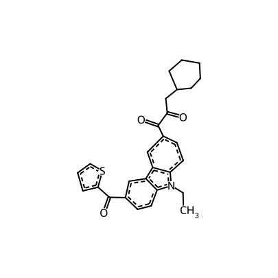 CCn1c2ccc(C(=O)C(=O)CC3CCCCC3)cc2c2cc(C(=O)c3cccs3)ccc21